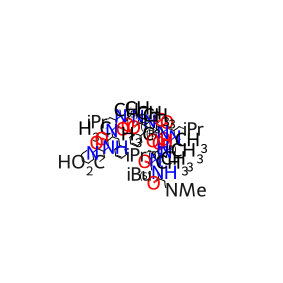 CC[C@H](C)C(NC(=O)CCNC)C(=O)N(C)[C@@H](CC(C)C)C(=O)N(C)[C@@H](C)C(=O)N(C)C(CC(C)C)C(=O)N[C@H](C(=O)N(C)[C@@H](Cc1ccccc1)C(=O)N(C)[C@@H](C)C(=O)N(C)C(CC(C)C)C(=O)N(C)C(Cc1ccccc1)C(=O)NC(CC(=O)O)C(=O)N1CCCCC1)[C@@H](C)O